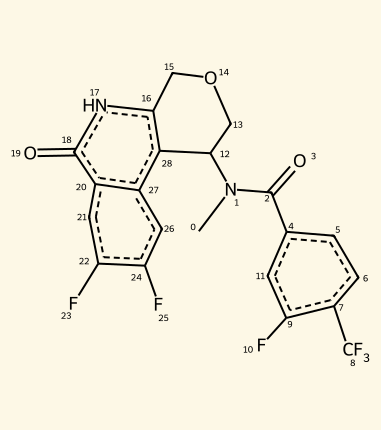 CN(C(=O)c1ccc(C(F)(F)F)c(F)c1)C1COCc2[nH]c(=O)c3cc(F)c(F)cc3c21